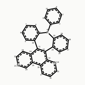 c1ccc(P2c3ccccc3-c3c(c4ncccc4c4cnccc34)-c3ccccc32)cc1